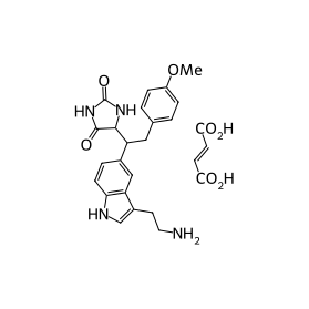 COc1ccc(CC(c2ccc3[nH]cc(CCN)c3c2)C2NC(=O)NC2=O)cc1.O=C(O)C=CC(=O)O